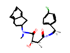 C[C@H](NC(=O)[C@H](C)[C@@H](O)C(=O)N(C)C1Cc2ccccc2C1)c1ccc(Br)cc1